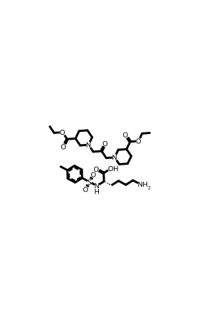 CCOC(=O)C1CCCN(CC(=O)CN2CCCC(C(=O)OCC)C2)C1.Cc1ccc(S(=O)(=O)N[C@@H](CCCCN)C(=O)O)cc1